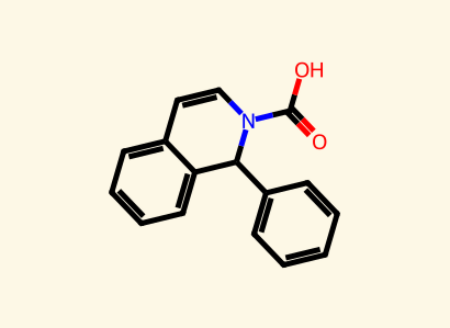 O=C(O)N1C=Cc2ccccc2C1c1ccccc1